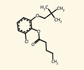 CCCCC(=O)Oc1c(Cl)cccc1OCC(C)(C)C